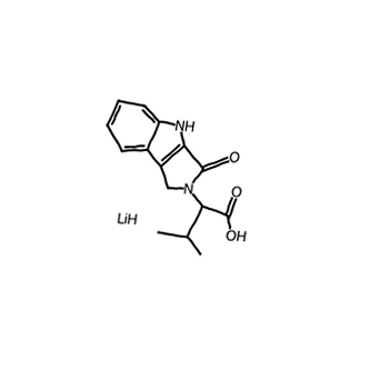 CC(C)C(C(=O)O)N1Cc2c([nH]c3ccccc23)C1=O.[LiH]